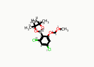 COCOc1cc(Cl)cc(Cl)c1B1OC(C)(C)C(C)(C)O1